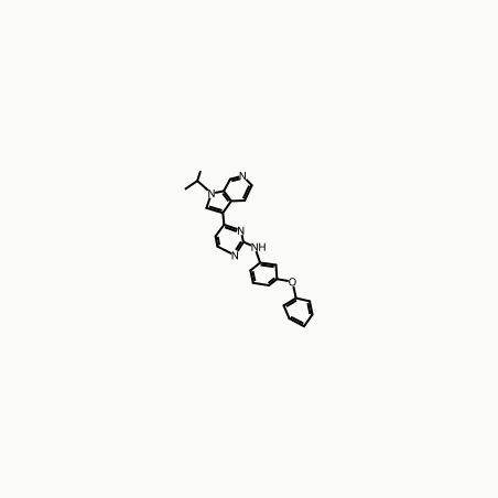 CC(C)n1cc(-c2ccnc(Nc3cccc(Oc4ccccc4)c3)n2)c2ccncc21